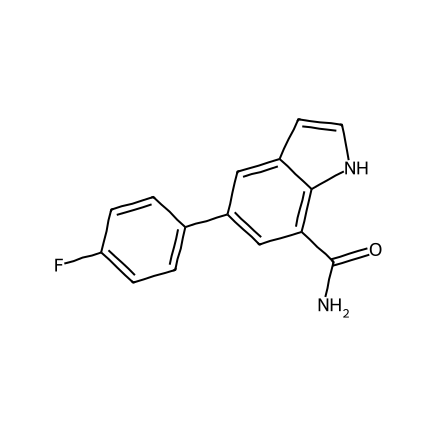 NC(=O)c1cc(-c2ccc(F)cc2)cc2cc[nH]c12